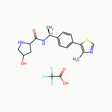 Cc1ncsc1-c1ccc([C@H](C)NC(=O)C2CC(O)CN2)cc1.O=C(O)C(F)(F)F